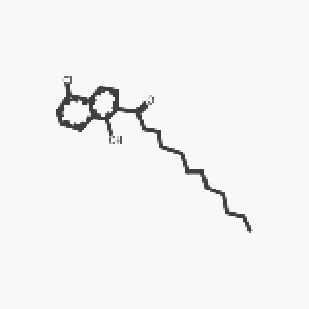 CCCCCCCCCCCC(=O)c1ccc2c(Cl)cccc2c1O